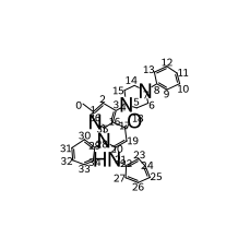 Cc1cc(N2CCN(c3ccccc3)CC2)c2c(=O)cc(Nc3ccccc3)n(-c3ccccc3)c2n1